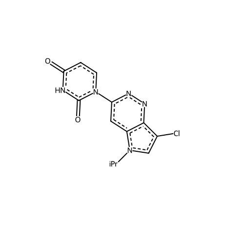 CC(C)n1cc(Cl)c2nnc(-n3ccc(=O)[nH]c3=O)cc21